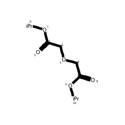 CC(C)OC(=O)COCC(=O)OC(C)C